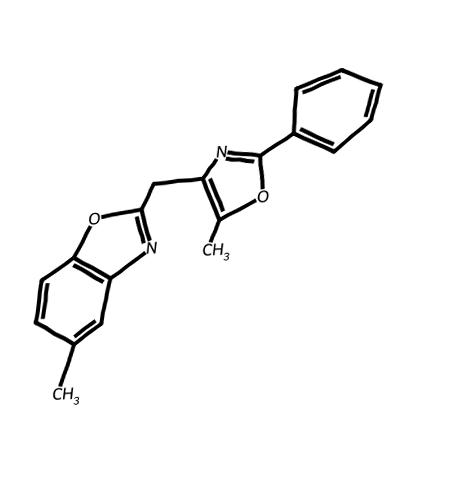 Cc1ccc2oc(Cc3nc(-c4ccccc4)oc3C)nc2c1